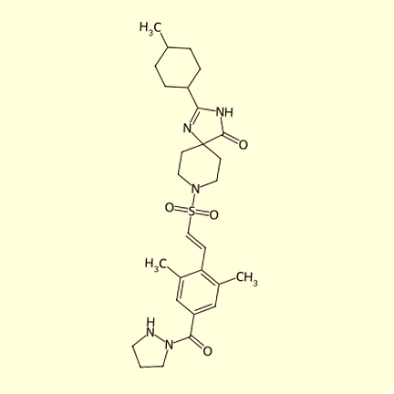 Cc1cc(C(=O)N2CCCN2)cc(C)c1/C=C/S(=O)(=O)N1CCC2(CC1)N=C(C1CCC(C)CC1)NC2=O